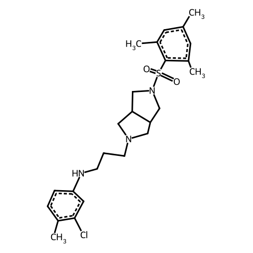 Cc1cc(C)c(S(=O)(=O)N2CC3CN(CCCNc4ccc(C)c(Cl)c4)CC3C2)c(C)c1